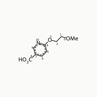 COCCOc1ccc(C(=O)O)cn1